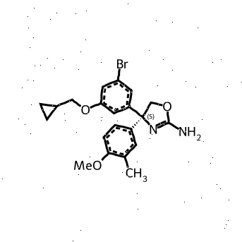 COc1ccc([C@]2(c3cc(Br)cc(OCC4CC4)c3)COC(N)=N2)cc1C